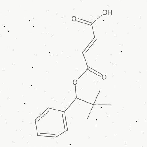 CC(C)(C)C(OC(=O)C=CC(=O)O)c1ccccc1